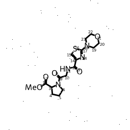 COC(=O)C1CCCN1C(=O)CNC(=O)c1csc(N2CCOCC2)n1